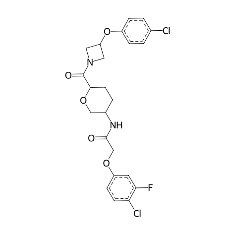 O=C(COc1ccc(Cl)c(F)c1)NC1CCC(C(=O)N2CC(Oc3ccc(Cl)cc3)C2)OC1